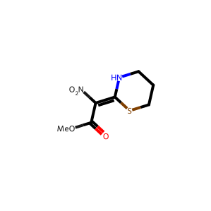 COC(=O)C(=C1NCCCS1)[N+](=O)[O-]